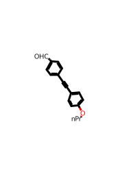 CCCOc1ccc(C#Cc2ccc(C=O)cc2)cc1